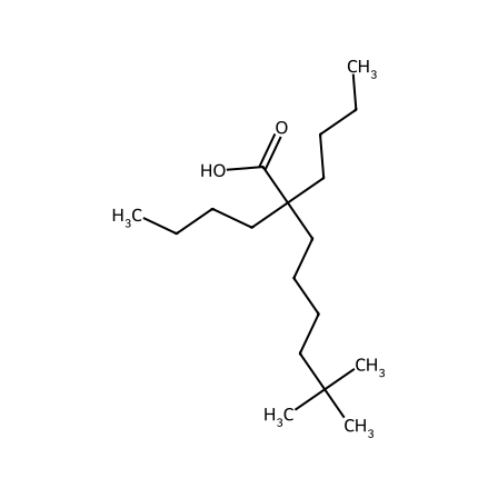 CCCCC(CCCC)(CCCCC(C)(C)C)C(=O)O